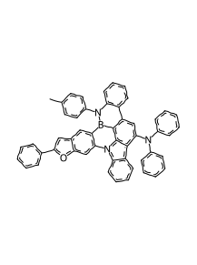 Cc1ccc(N2B3c4cc5cc(-c6ccccc6)oc5cc4-n4c5ccccc5c5c(N(c6ccccc6)c6ccccc6)cc(c3c54)-c3ccccc32)cc1